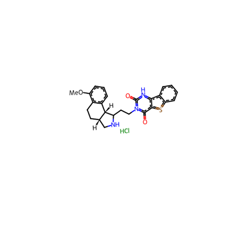 COc1cccc2c1CC[C@H]1CNC(CCn3c(=O)[nH]c4c(sc5ccccc54)c3=O)[C@@H]21.Cl